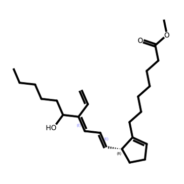 C=C/C(=C\C=C\[C@H]1CCC=C1CCCCCCC(=O)OC)C(O)CCCCC